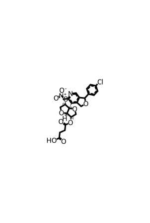 Cc1ncc2c(c1[C@]13OC[C@H](OC(=O)CCC(=O)O)[C@H]1OC[C@@H]3O[N+](=O)[O-])COC2c1ccc(Cl)cc1